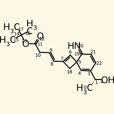 C[C@@H](O)C1=CC2(C=C(/C=C/CC(=O)OC(C)(C)C)C2)C(=N)C=C1